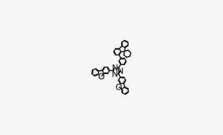 c1cc(-c2nc(-c3ccc4c(c3)oc3ccccc34)nc(-c3ccc4c(c3)oc3ccccc34)n2)cc(-c2cccc3c2C2(CCCCC2)c2ccccc2-3)c1